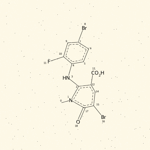 Cn1c(Nc2ccc(Br)cc2F)c(C(=O)O)cc(Br)c1=O